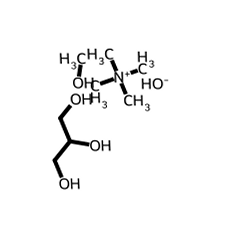 CO.C[N+](C)(C)C.OCC(O)CO.[OH-]